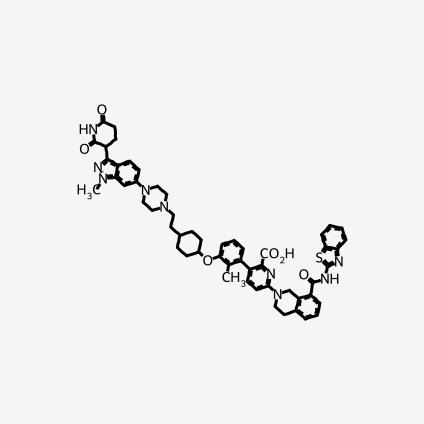 Cc1c(OC2CCC(CCN3CCN(c4ccc5c(C6CCC(=O)NC6=O)nn(C)c5c4)CC3)CC2)cccc1-c1ccc(N2CCc3cccc(C(=O)Nc4nc5ccccc5s4)c3C2)nc1C(=O)O